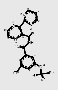 CC(NC(=O)c1cc(Cl)cc(OC(F)(F)F)c1)c1nccnc1-c1ncccn1